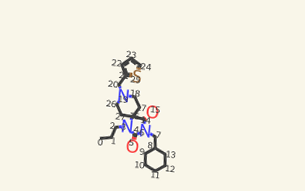 CCCN1C(=O)N(CC2CCCCC2)C(=O)C12CCN(Cc1cccs1)CC2